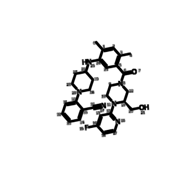 Cc1cc(C)c(C(=O)N2CCN(c3cc(F)ccn3)[C@H](CO)C2)cc1NC1CCN(c2ccccc2C#N)CC1